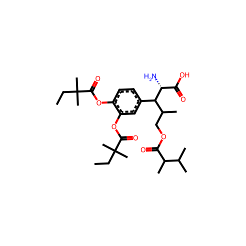 CCC(C)(C)C(=O)Oc1ccc(C(C(C)COC(=O)C(C)C(C)C)[C@H](N)C(=O)O)cc1OC(=O)C(C)(C)CC